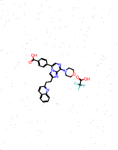 O=C(O)C(F)(F)F.O=C(O)c1ccc(-c2cnc(N3CCOCC3)c3nc(CCc4ccc5ccccc5n4)cn23)cc1